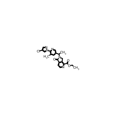 CCOC(=O)c1nccc2c1CN(C(C)c1cnc(-n3cc(Cl)cn3)c(C)c1)C2=O